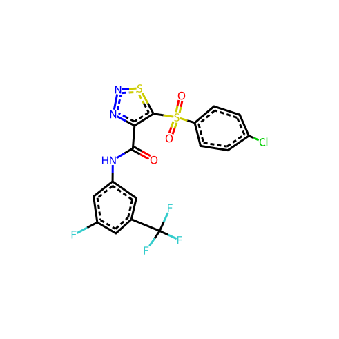 O=C(Nc1cc(F)cc(C(F)(F)F)c1)c1nnsc1S(=O)(=O)c1ccc(Cl)cc1